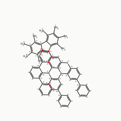 Bc1c(B)c(B)c2c(c1B)c1c(B)c(B)c(B)c(B)c1n2-c1cc2c3c(c1)N(c1c(-c4ccccc4)cccc1-c1ccccc1)c1ccc(-c4ccccc4)cc1B3c1cc(-c3ccccc3)ccc1S2